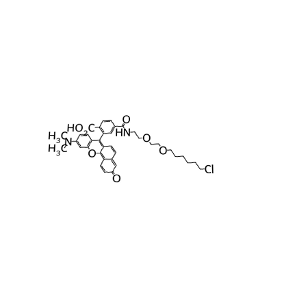 CN(C)c1ccc2c(-c3cc(C(=O)NCCOCCOCCCCCCCl)ccc3C(=O)O)c3ccc4cc(=O)ccc4c3oc2c1